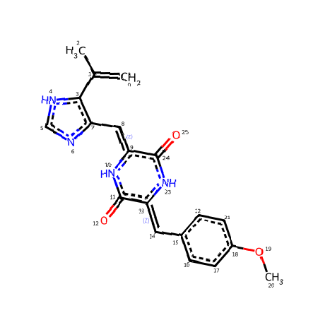 C=C(C)c1[nH]cnc1/C=c1\[nH]c(=O)/c(=C/c2ccc(OC)cc2)[nH]c1=O